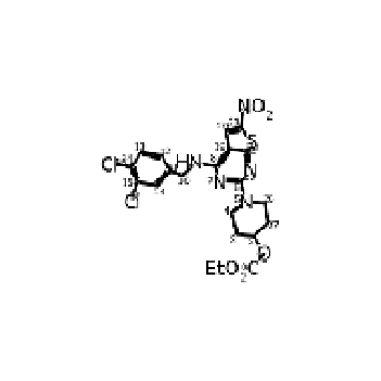 CCOC(=O)OC1CCN(c2nc(NCc3ccc(Cl)c(Cl)c3)c3cc([N+](=O)[O-])sc3n2)CC1